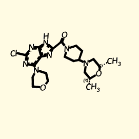 C[C@@H]1CN(C2CCN(C(=O)c3nc4c(N5CCOCC5)nc(Cl)nc4[nH]3)CC2)C[C@H](C)O1